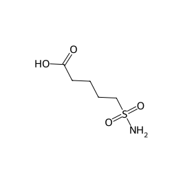 NS(=O)(=O)CCCCC(=O)O